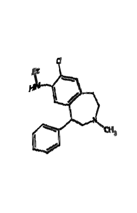 CCNc1cc2c(cc1Cl)CCN(C)CC2c1ccccc1